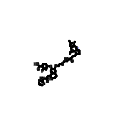 Cc1cc(C)n(C)c1/C=C1/C=CC(CCC(=O)NCCOCCOc2cc3c(cc2Oc2ccc(C(=O)O)c(F)c2)C(CC(=O)Nc2nccs2)NCC3)=[N+]1B(F)F